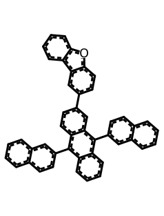 c1ccc2cc(-c3c4ccccc4c(-c4ccc5ccccc5c4)c4cc(-c5ccc6oc7ccccc7c6c5)ccc34)ccc2c1